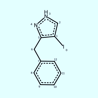 Ic1c[nH]nc1Cc1ccccc1